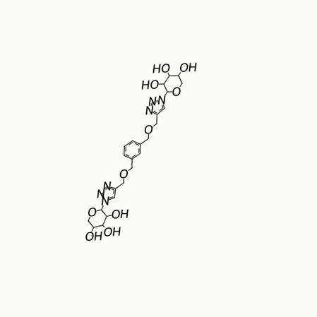 OC1COC(n2cc(COCc3cccc(COCc4cn(C5OCC(O)C(O)C5O)nn4)c3)nn2)C(O)C1O